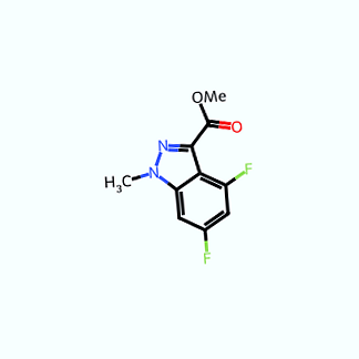 COC(=O)c1nn(C)c2cc(F)cc(F)c12